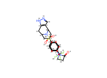 O=C1CCN1c1ccc(C2CC3Cc4[nH]ncc4C(C2)N3S(=O)(=O)c2ccc(C(F)(F)F)cc2)cc1